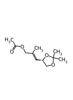 CC(=O)OC/C(C)=C/[C@@H]1COC(C)(C)O1